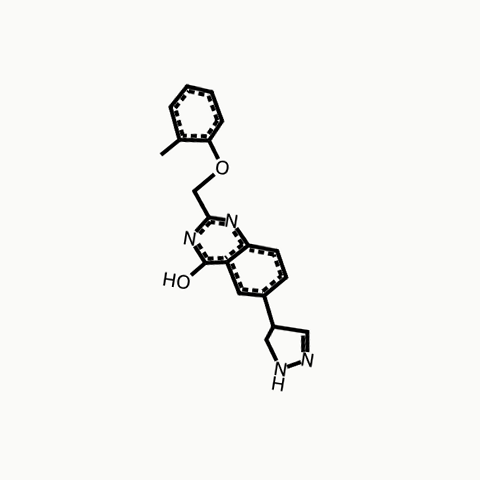 Cc1ccccc1OCc1nc(O)c2cc(C3C=NNC3)ccc2n1